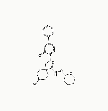 CC(=O)N1CCC(CCn2ccc(-c3ccccc3)cc2=O)(C(=O)NOC2CCCCO2)CC1